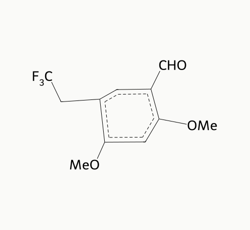 COc1cc(OC)c(CC(F)(F)F)cc1C=O